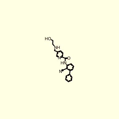 N#Cc1c(NC(=O)c2ccc(CNCCO)cn2)cccc1-c1ccccc1